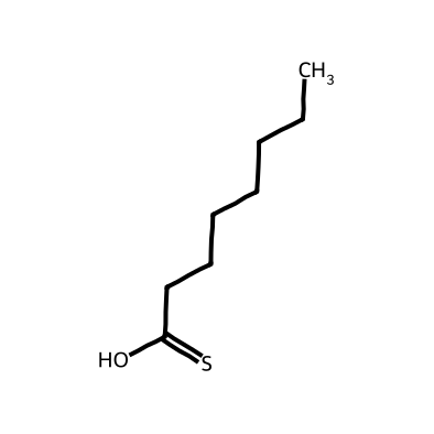 CCCCCCCC(O)=S